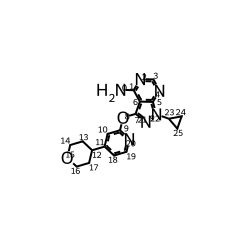 Nc1ncnc2c1c(Oc1cc(C3CCOCC3)ccn1)nn2C1CC1